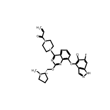 C=CC(=O)N1CCN(c2nc(OC[C@@H]3CCCN3C)nc3c(Oc4c(Cl)c(F)cc5[nH]ncc45)cccc23)CC1